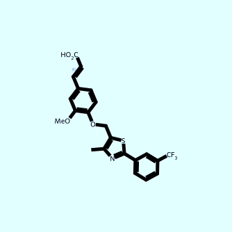 COc1cc(/C=C/C(=O)O)ccc1OCc1sc(-c2cccc(C(F)(F)F)c2)nc1C